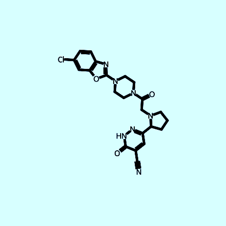 N#Cc1cc(C2CCCN2CC(=O)N2CCN(c3nc4ccc(Cl)cc4o3)CC2)n[nH]c1=O